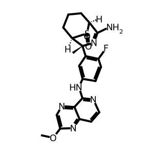 COc1cnc2c(Nc3ccc(F)c([C@@]4(C)N=C(N)[C@@H]5CCC[C@H]4S5(=O)=O)c3)nccc2n1